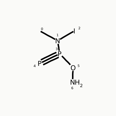 CN(I)P(#P)ON